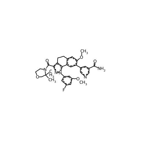 COc1cc(F)cc(-n2nc(C(=O)N3CCOCC3(C)C)c3c2-c2cc(-c4cncc(C(N)=O)c4)c(OC)cc2CC3)c1